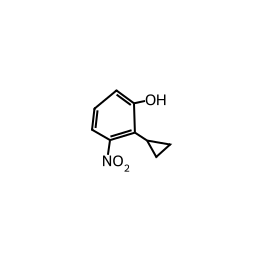 O=[N+]([O-])c1cccc(O)c1C1CC1